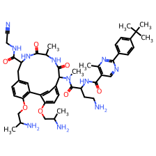 Cc1nc(-c2ccc(C(C)(C)C)cc2)ncc1C(=O)NC(CCN)C(=O)N(C)C1C(=O)NC(C)C(=O)NC(C(=O)NCC#N)Cc2ccc(OCC(C)N)c(c2)-c2cc1ccc2OCC(C)N